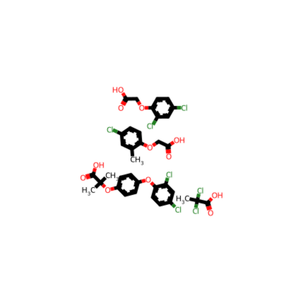 CC(C)(Oc1ccc(Oc2ccc(Cl)cc2Cl)cc1)C(=O)O.CC(Cl)(Cl)C(=O)O.Cc1cc(Cl)ccc1OCC(=O)O.O=C(O)COc1ccc(Cl)cc1Cl